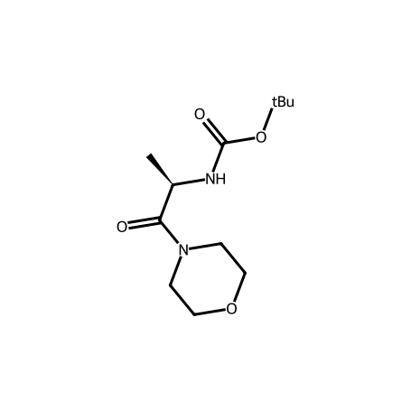 C[C@@H](NC(=O)OC(C)(C)C)C(=O)N1CCOCC1